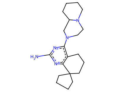 Nc1nc(N2CCN3CCCCC3C2)c2c(n1)C1(CCCC1)CCC2